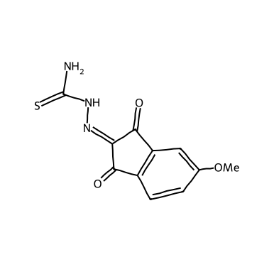 COc1ccc2c(=O)c(=NNC(N)=S)c(=O)c2c1